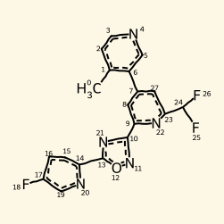 Cc1ccncc1-c1cc(-c2noc(-c3ccc(F)cn3)n2)nc(C(F)F)c1